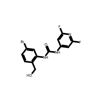 O=C(Nc1cc(F)nc(F)c1)Nc1cc(Br)ccc1CO